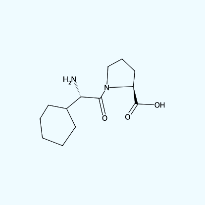 N[C@H](C(=O)N1CCC[C@H]1C(=O)O)C1CCCCC1